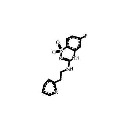 O=S1(=O)N=C(NCCc2ccccn2)Nc2cc(F)ccc21